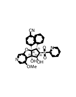 COc1cncc2c1[C@]1(O)[C@H](O)[C@H](S(=O)(=O)c3ccccn3)[C@@H](c3ccccc3)[C@]1(c1ccc(C#N)cc1)O2